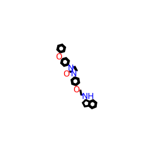 O=c1n(-c2ccc(OCCNC3CCc4ccccc43)cc2)ccn1-c1ccc(Oc2ccccc2)cc1